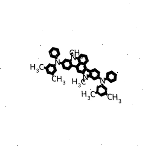 CC1=CC(C)CC(N(c2ccccc2)c2ccc3c4c5cccc6c5c(cc4n(C)c3c2)-c2ccc(N(c3ccccc3)c3cc(C)cc(C)c3)cc2N6C)=C1